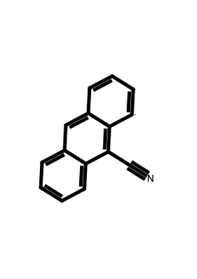 N#Cc1c2[c]cccc2cc2ccccc12